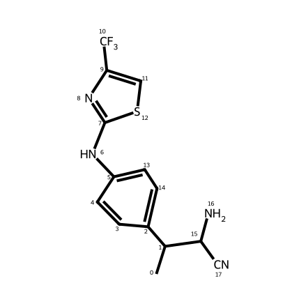 CC(c1ccc(Nc2nc(C(F)(F)F)cs2)cc1)C(N)C#N